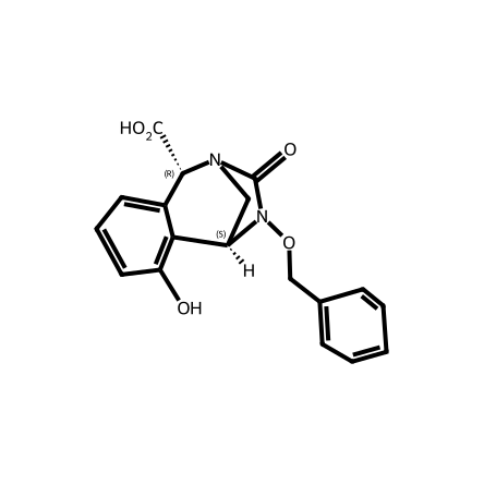 O=C(O)[C@H]1c2cccc(O)c2[C@H]2CN1C(=O)N2OCc1ccccc1